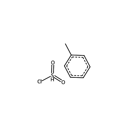 Cc1ccccc1.O=[SH](=O)Cl